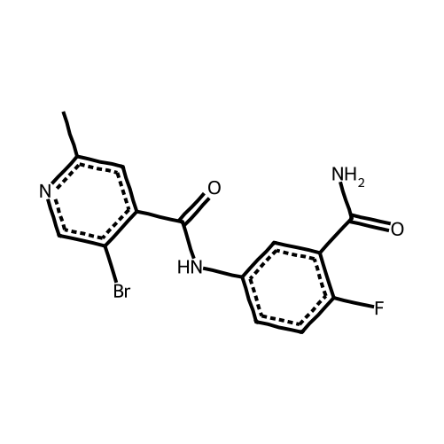 Cc1cc(C(=O)Nc2ccc(F)c(C(N)=O)c2)c(Br)cn1